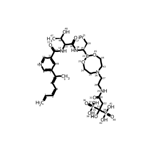 C=C/C=C\C=C(/C)c1cncc(C(=O)NC(C(=O)N[C@@H](CC(C)C)B2OCCN(CCNC(=O)CC(O)(P(=O)(O)O)P(=O)(O)O)CCO2)[C@@H](C)O)c1